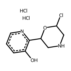 Cl.Cl.Oc1cccnc1C1CNCC(Cl)O1